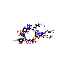 CCCCCC(=O)N[C@@H](CC(=O)O)C(=O)N[C@@H]1C(=O)N[C@@H](CCCCN)C(=O)N[C@H]2CC[C@@H](O)N(C2=O)[C@@H]([C@@H](C)CC)C(=O)N(C)[C@@H](Cc2ccc(O)cc2)C(=O)N[C@@H](C(C)C)C(=O)O[C@@H]1C